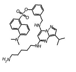 CC(C)c1cnn2c(NCc3cccc(OS(=O)(=O)c4cccc5c(N(C)C)cccc45)c3)cc(NCCCCCN)nc12